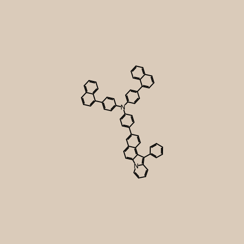 c1ccc(-c2c3c4ccc(-c5ccc(N(c6ccc(-c7cccc8ccccc78)cc6)c6ccc(-c7cccc8ccccc78)cc6)cc5)cc4ccc3n3ccccc23)cc1